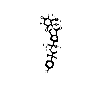 BC1C(=O)NC(=O)[C@](B)(N2Cc3cc(C(B)(B)NC(=O)C(F)(F)c4ccc(Cl)cc4)ccc3C2=O)C1B